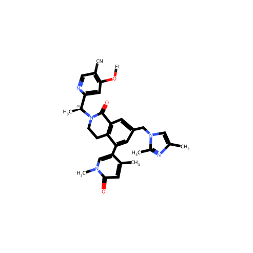 CCOc1cc([C@H](C)N2CCc3c(cc(Cn4cc(C)nc4C)cc3-c3cn(C)c(=O)cc3C)C2=O)ncc1C#N